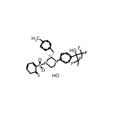 Cc1ccc(C[C@H]2CN(S(=O)(=O)C3=CC=CCC3=S)CCN2c2ccc(C(O)(C(F)(F)F)C(F)(F)F)cc2)cc1.Cl